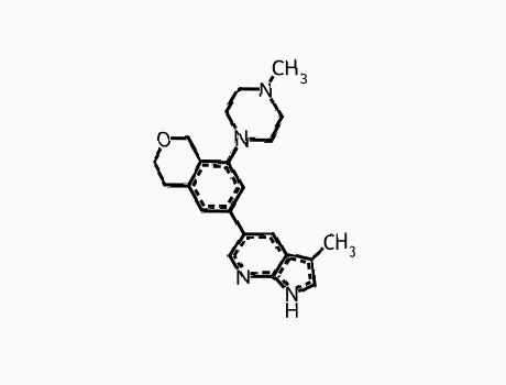 Cc1c[nH]c2ncc(-c3cc4c(c(N5CCN(C)CC5)c3)COCC4)cc12